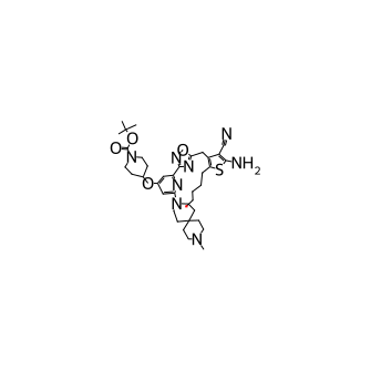 CCCCCc1sc(N)c(C#N)c1Cc1nc(-c2cc(OC3CCN(C(=O)OC(C)(C)C)CC3)cc(N3CCC4(CCN(C)CC4)CC3)n2)no1